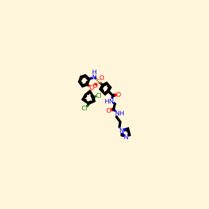 O=C(CNC(=O)c1ccc(S(=O)(=O)Nc2ccccc2Oc2ccc(Cl)cc2Cl)cc1)NCCCn1ccnc1